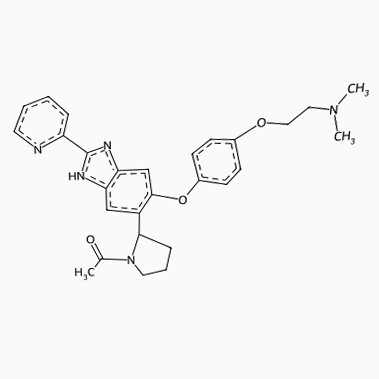 CC(=O)N1CCCC1c1cc2[nH]c(-c3ccccn3)nc2cc1Oc1ccc(OCCN(C)C)cc1